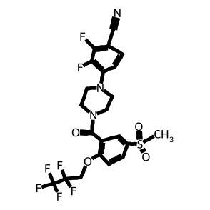 CS(=O)(=O)c1ccc(OCC(F)(F)C(F)(F)F)c(C(=O)N2CCN(c3ccc(C#N)c(F)c3F)CC2)c1